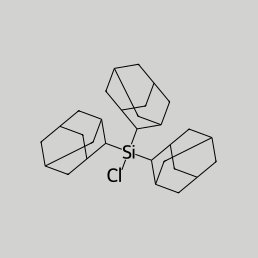 Cl[Si](C1C2CC3CC(C2)CC1C3)(C1C2CC3CC(C2)CC1C3)C1C2CC3CC(C2)CC1C3